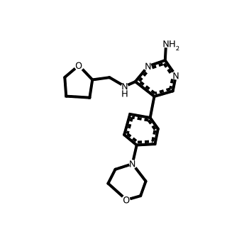 Nc1ncc(-c2ccc(N3CCOCC3)cc2)c(NCC2CCCO2)n1